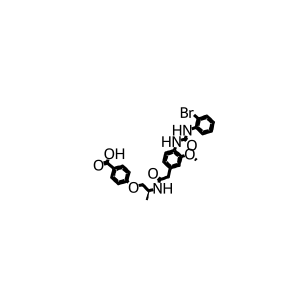 COc1cc(CC(=O)N[C@@H](C)COc2ccc(C(=O)O)cc2)ccc1NC(=O)Nc1ccccc1Br